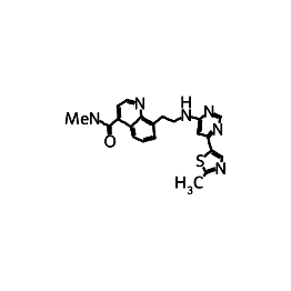 CNC(=O)c1ccnc2c(CCNc3cc(-c4cnc(C)s4)ncn3)cccc12